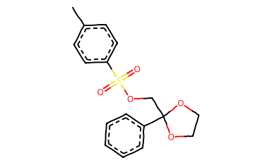 Cc1ccc(S(=O)(=O)OCC2(c3ccccc3)OCCO2)cc1